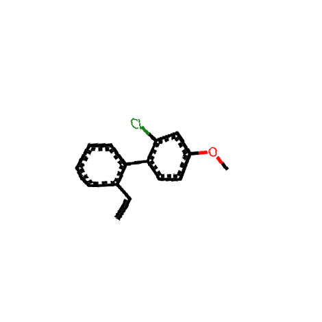 C=Cc1ccccc1-c1ccc(OC)cc1Cl